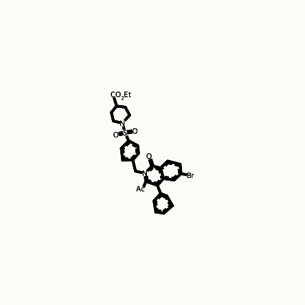 CCOC(=O)C1CCN(S(=O)(=O)c2ccc(Cn3c(C(C)=O)c(-c4ccccc4)c4cc(Br)ccc4c3=O)cc2)CC1